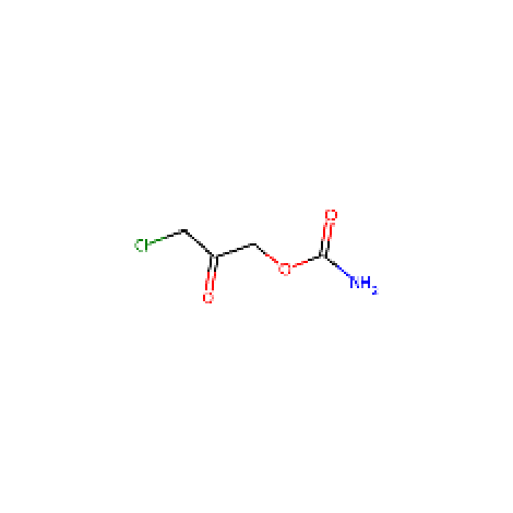 NC(=O)OCC(=O)CCl